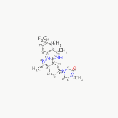 Cc1c([C@@H](C)Nc2nnc(C)c3ccc(N4CCN(C)C(=O)C4)cc23)cccc1C(F)(F)F